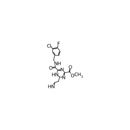 COC(=O)C1=NC(CC=N)NC(C(=O)NCc2ccc(F)c(Cl)c2)=N1